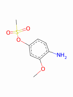 COc1cc(OS(C)(=O)=O)ccc1N